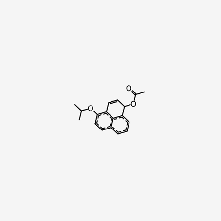 CC(=O)OC1C=Cc2c(OC(C)C)ccc3cccc1c23